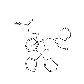 COC(=O)CNC(=O)[C@H](Cc1c[nH]c2ccccc12)NC(c1ccccc1)(c1ccccc1)c1ccccc1